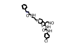 O=NCc1c(NC(=O)Nc2ccc(Cl)cc2)sc2c1CCN(CCCNC(=O)/C=C/c1ccccc1)C2